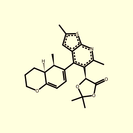 Cc1cc2c(C3=CC=C4OCCC[C@H]4[C@H]3C)c([C@@H]3OC(C)(C)OC3=O)c(C)nc2s1